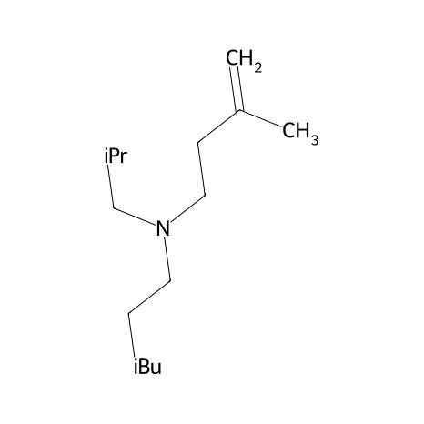 C=C(C)CCN(CCC(C)CC)CC(C)C